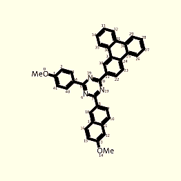 COc1ccc(-c2nc(-c3ccc4cc(OC)ccc4c3)nc(-c3ccc4c5ccccc5c5ccccc5c4c3)n2)cc1